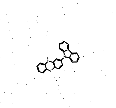 B1c2ccccc2Oc2ccc(-n3c4ccccc4c4ccccc43)cc21